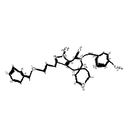 CCn1nc(CCCOCc2ccccc2)c2c1C(=O)N(Cc1ccc(OC)cc1)CC1(CCOCC1)C2